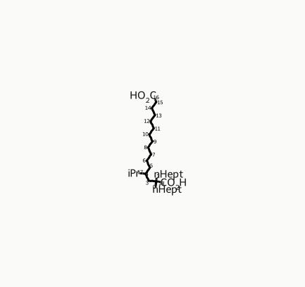 CCCCCCCC(CCCCCCC)(CC(CCCCCCCCCCCC(=O)O)C(C)C)C(=O)O